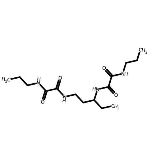 CCCNC(=O)C(=O)NCCC(CC)NC(=O)C(=O)NCCC